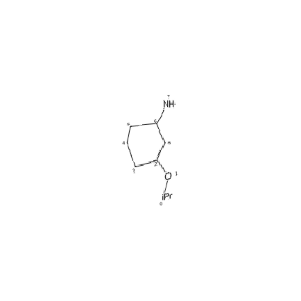 CC(C)OC1CCCC([NH])C1